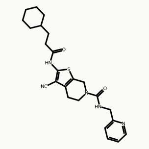 N#Cc1c(NC(=O)CCC2CCCCC2)sc2c1CCN(C(=O)NCc1ccccn1)C2